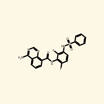 Nc1ncnc2c(C(=O)Nc3c(F)ccc(NS(=O)(=O)c4ccccc4)c3F)cccc12